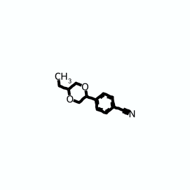 CCC1COC(c2ccc(C#N)cc2)CO1